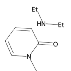 CCNCC.Cn1ccccc1=O